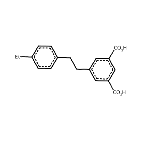 CCc1ccc(CCc2cc(C(=O)O)cc(C(=O)O)c2)cc1